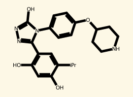 CC(C)c1cc(-c2nnc(O)n2-c2ccc(OC3CCNCC3)cc2)c(O)cc1O